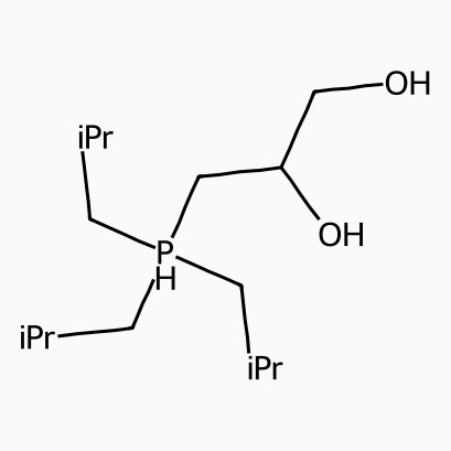 CC(C)C[PH](CC(C)C)(CC(C)C)CC(O)CO